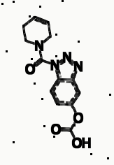 O=C(O)Oc1ccc2c(c1)nnn2C(=O)N1CC=CCC1